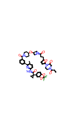 C=CC(=O)N1CCN(c2ccc(CCC(=O)N3CC(OC4CCN(C(=O)c5cccc(-c6nc(NC(=O)C7(c8ccc9c(c8)OC(F)(F)O9)CC7)ccc6C)c5)CC4)C3)o2)C(=O)C1